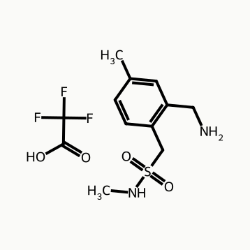 CNS(=O)(=O)Cc1ccc(C)cc1CN.O=C(O)C(F)(F)F